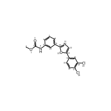 COC(=O)Nc1cccc(-c2ncc(-c3ccc(Cl)c(Cl)c3)o2)c1